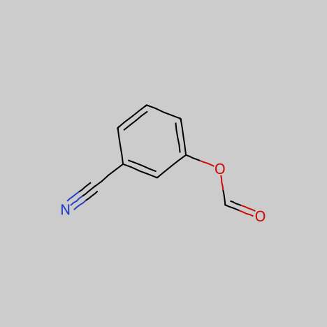 N#Cc1cccc(OC=O)c1